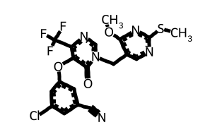 COc1nc(SC)ncc1Cn1cnc(C(F)(F)F)c(Oc2cc(Cl)cc(C#N)c2)c1=O